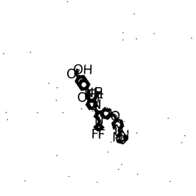 O=C(NC1CC2CC(C1)CC(C(=O)O)C2)c1ccc(-c2cn(C3CC(F)(F)C3)c3cc(OC4CCN(c5ncccn5)CC4)ccc23)nc1C(F)(F)F